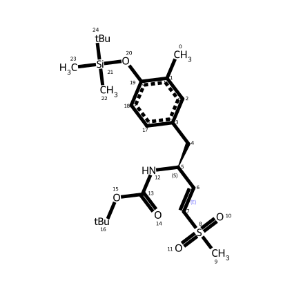 Cc1cc(C[C@@H](/C=C/S(C)(=O)=O)NC(=O)OC(C)(C)C)ccc1O[Si](C)(C)C(C)(C)C